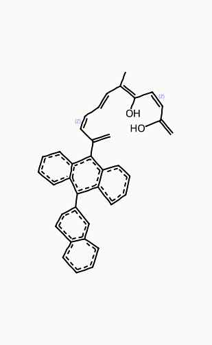 C=C(O)/C=C\C(O)=C(C)C=C/C=C\C(=C)c1c2ccccc2c(-c2ccc3ccccc3c2)c2ccccc12